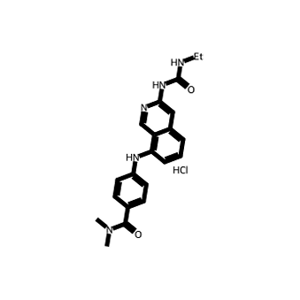 CCNC(=O)Nc1cc2cccc(Nc3ccc(C(=O)N(C)C)cc3)c2cn1.Cl